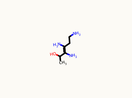 CC(O)C(N)=C(N)CCN